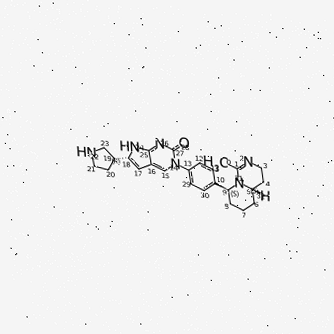 CC1=NCC[C@@H]2CCC[C@@H](c3ccc(-n4cc5cc([C@@H]6CCNC6)[nH]c5nc4=O)cc3)N12